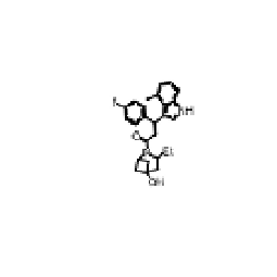 CCC1CC2(O)CC(C2)N1C(=O)CC(c1ccc(F)cc1)c1c[nH]c2cccc(C)c12